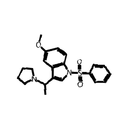 COc1ccc2c(c1)c(C(C)N1CCCC1)cn2S(=O)(=O)c1ccccc1